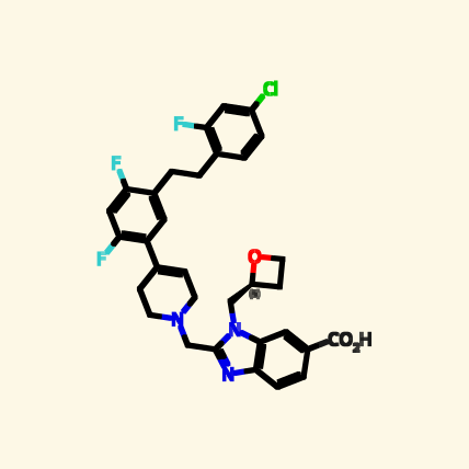 O=C(O)c1ccc2nc(CN3CC=C(c4cc(CCc5ccc(Cl)cc5F)c(F)cc4F)CC3)n(C[C@@H]3CCO3)c2c1